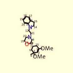 COC1=C[C@@](C)(OC)CC([C@H]2CN(CCN3CCc4ccccc43)CCO2)C1